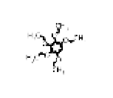 CCOc1[c]c(OCC)c(OCC)c(OCC)c1OCC